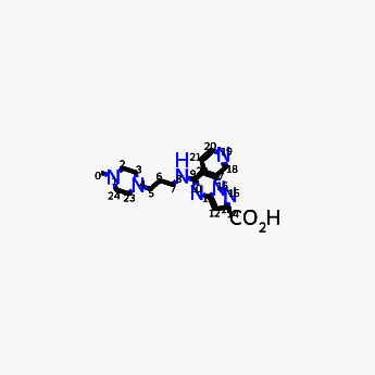 CN1CCN(CCCNc2nc3cc(C(=O)O)nn3c3cnccc23)CC1